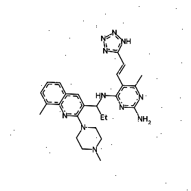 CCC(Nc1nc(N)nc(C)c1C=Cc1nnn[nH]1)c1cc2cccc(C)c2nc1N1CCN(C)CC1